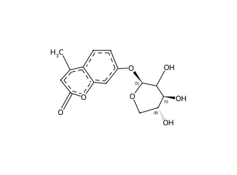 Cc1cc(=O)oc2cc(O[C@@H]3OC[C@@H](O)[C@H](O)C3O)ccc12